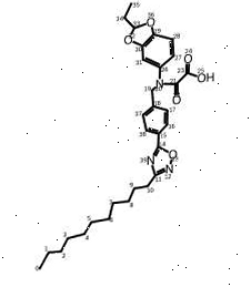 CCCCCCCCCCCc1noc(-c2ccc(CN(C(=O)C(=O)O)c3ccc4c(c3)OC(CC)O4)cc2)n1